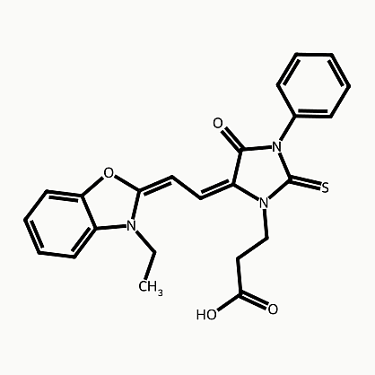 CCN1C(=CC=C2C(=O)N(c3ccccc3)C(=S)N2CCC(=O)O)Oc2ccccc21